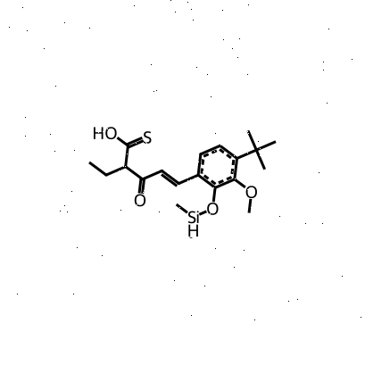 CCC(C(=O)C=Cc1ccc(C(C)(C)C)c(OC)c1O[SiH](C)C)C(O)=S